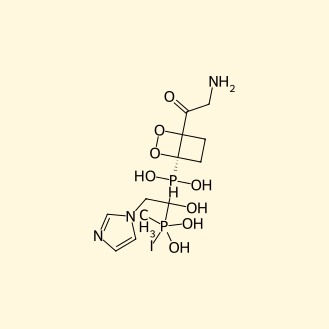 CP(O)(O)(I)C(O)(Cn1ccnc1)[PH](O)(O)[C@@]12CCC1(C(=O)CN)OO2